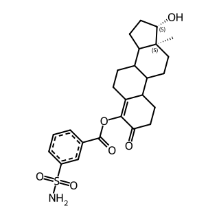 C[C@]12CCC3C4CCC(=O)C(OC(=O)c5cccc(S(N)(=O)=O)c5)=C4CCC3C1CC[C@@H]2O